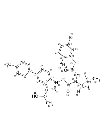 Cc1ncc(-c2cc3c(C(C)O)nn(CC(=O)N4[C@H](C(=O)Nc5nc(Br)ccc5C)C[C@@]5(C)C[C@@H]45)c3cn2)cn1